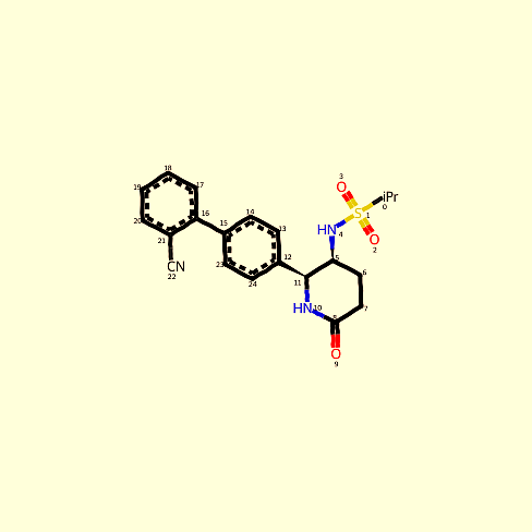 CC(C)S(=O)(=O)N[C@H]1CCC(=O)N[C@H]1c1ccc(-c2ccccc2C#N)cc1